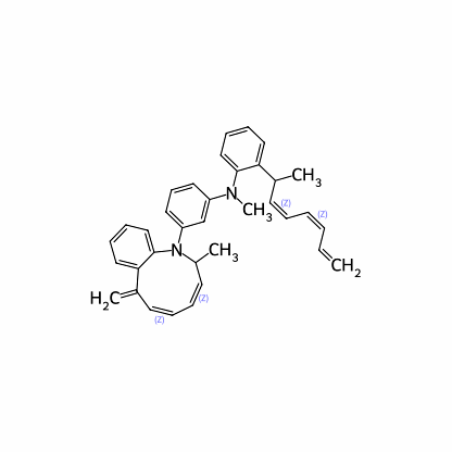 C=C/C=C\C=C/C(C)c1ccccc1N(C)c1cccc(N2c3ccccc3C(=C)/C=C\C=C/C2C)c1